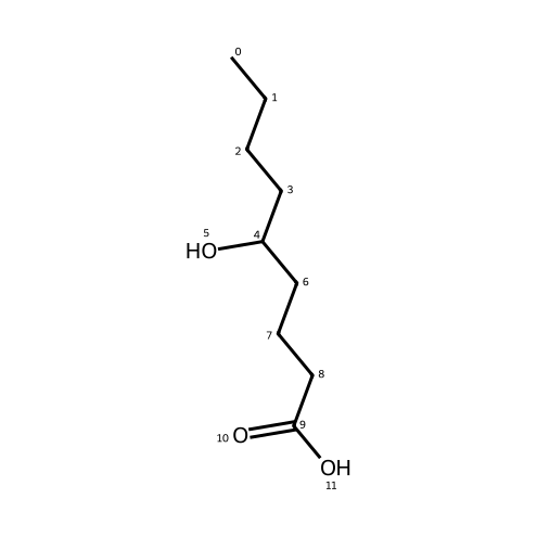 CCCCC(O)CCCC(=O)O